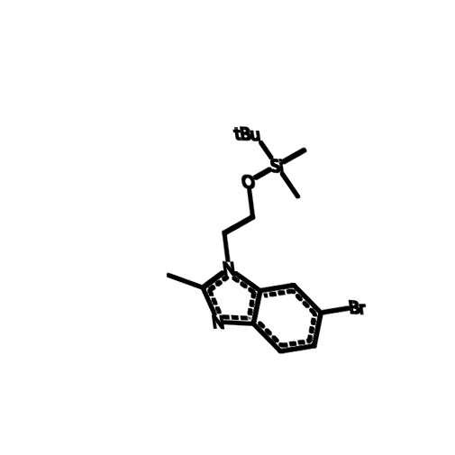 Cc1nc2ccc(Br)cc2n1CCO[Si](C)(C)C(C)(C)C